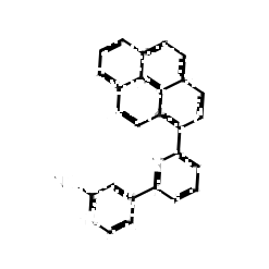 N#Cc1cc(-c2cccc(-c3ccc4ccc5cccc6ccc3c4c56)n2)ccn1